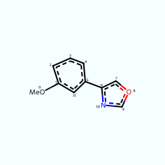 COc1cccc(-c2cocn2)c1